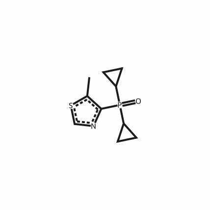 Cc1scnc1P(=O)(C1CC1)C1CC1